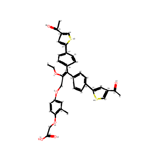 CCOC(COc1ccc(OCC(=O)O)c(C)c1)=C(c1ccc(-c2cc(C(C)=O)cs2)cc1)c1ccc(-c2cc(C(C)=O)cs2)cc1